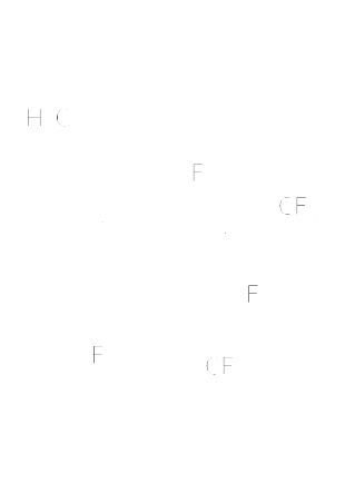 CC=[C]C(=C(F)C(F)(F)F)C(F)(F)C(F)(F)F